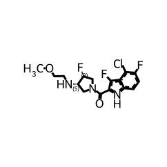 COCCN[C@H]1CN(C(=O)c2[nH]c3ccc(F)c(Cl)c3c2F)C[C@H]1F